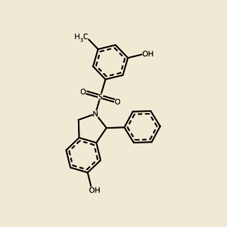 Cc1cc(O)cc(S(=O)(=O)N2Cc3ccc(O)cc3C2c2ccccc2)c1